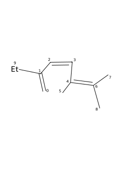 C=C(/C=C\C(C)=C(C)C)CC